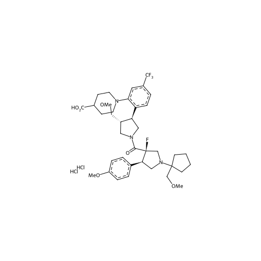 COC[C@H]1CN(C(=O)[C@]2(F)CN(C3(COC)CCCC3)C[C@H]2c2ccc(OC)cc2)C[C@@H]1c1ccc(C(F)(F)F)cc1N1CCC(C(=O)O)CC1.Cl.Cl